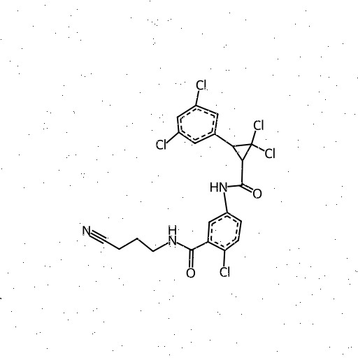 N#CCCCNC(=O)c1cc(NC(=O)C2C(c3cc(Cl)cc(Cl)c3)C2(Cl)Cl)ccc1Cl